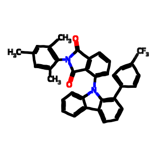 Cc1cc(C)c(N2C(=O)c3cccc(-n4c5ccccc5c5cccc(-c6ccc(C(F)(F)F)cc6)c54)c3C2=O)c(C)c1